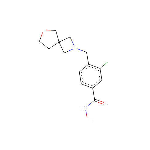 O=C(NO)c1ccc(CN2CC3(CCOC3)C2)c(F)c1